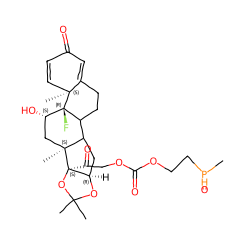 C[PH](=O)CCOC(=O)OCC(=O)[C@@]12OC(C)(C)O[C@@H]1CC1C3CCC4=CC(=O)C=C[C@]4(C)[C@@]3(F)[C@@H](O)C[C@@]12C